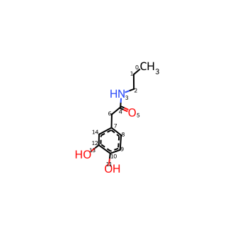 CCCNC(=O)Cc1ccc(O)c(O)c1